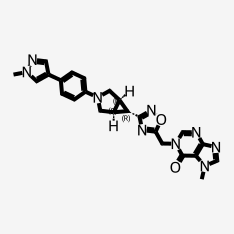 Cn1cc(-c2ccc(N3C[C@@H]4[C@H](C3)[C@H]4c3noc(Cn4cnc5ncn(C)c5c4=O)n3)cc2)cn1